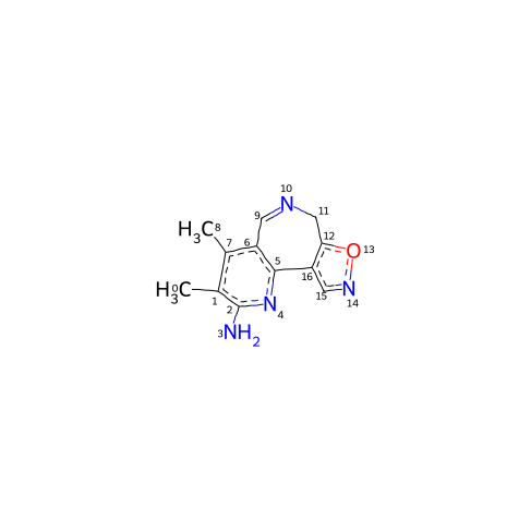 Cc1c(N)nc2c(c1C)C=NCc1oncc1-2